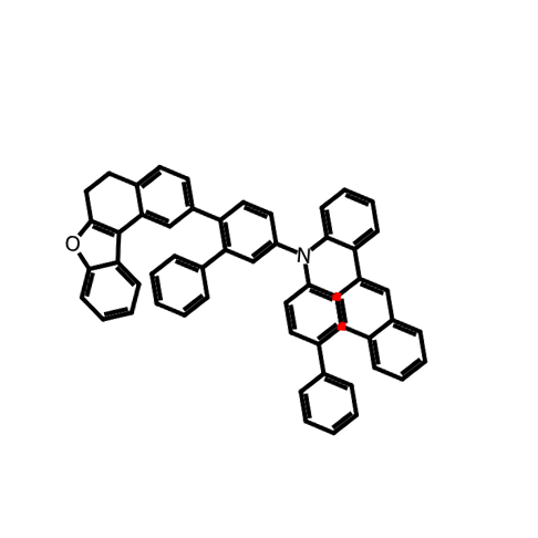 c1ccc(-c2ccc(N(c3ccc(-c4ccc5c(c4)-c4c(oc6ccccc46)CC5)c(-c4ccccc4)c3)c3ccccc3-c3ccc4ccccc4c3)cc2)cc1